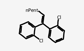 CCCCCC=C(c1ccccc1Cl)c1ccccc1Cl